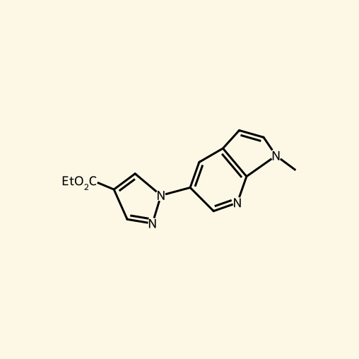 CCOC(=O)c1cnn(-c2cnc3c(ccn3C)c2)c1